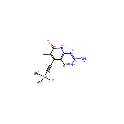 Cc1c(C#C[Si](C(C)C)(C(C)C)C(C)C)c2cnc(N)nc2[nH]c1=O